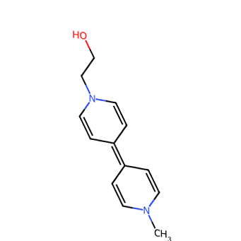 CN1C=CC(=C2C=CN(CCO)C=C2)C=C1